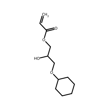 C=CC(=O)OCC(O)COC1CCCCC1